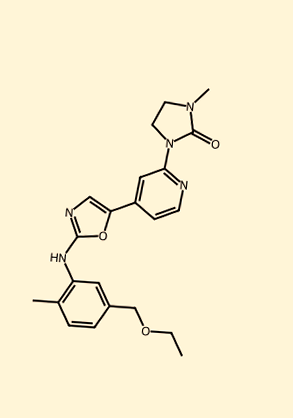 CCOCc1ccc(C)c(Nc2ncc(-c3ccnc(N4CCN(C)C4=O)c3)o2)c1